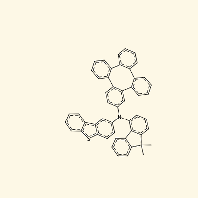 CC1(C)c2ccccc2-c2c(N(c3ccc4c(c3)-c3ccccc3-c3ccccc3-c3ccccc3-4)c3ccc4sc5ccccc5c4c3)cccc21